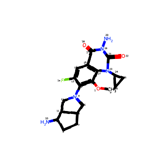 COc1c(N2CC3CCC(N)C3C2)c(F)cc2c(=O)n(N)c(=O)n(C3CC3)c12